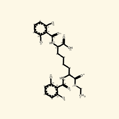 CCOC(=O)C(CCCCC(NC(=O)c1c(Cl)cccc1Cl)C(=O)O)NC(=O)c1c(Cl)cccc1Cl